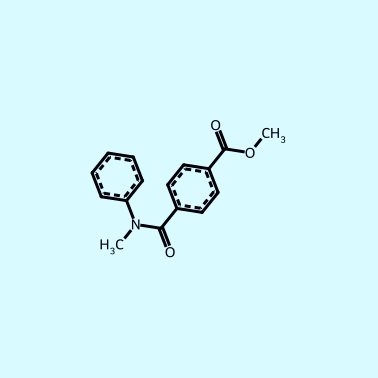 COC(=O)c1ccc(C(=O)N(C)c2ccccc2)cc1